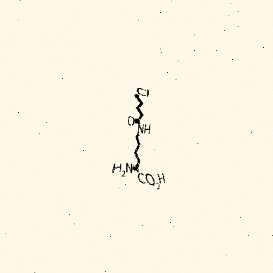 N[C@@H](CCCCNC(=O)CCCCCl)C(=O)O